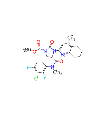 CN(C(=O)C1CN(C(=O)OC(C)(C)C)C(=O)N1c1cc(C(F)(F)F)c2c(n1)CCCC2)c1ccc(F)c(Cl)c1F